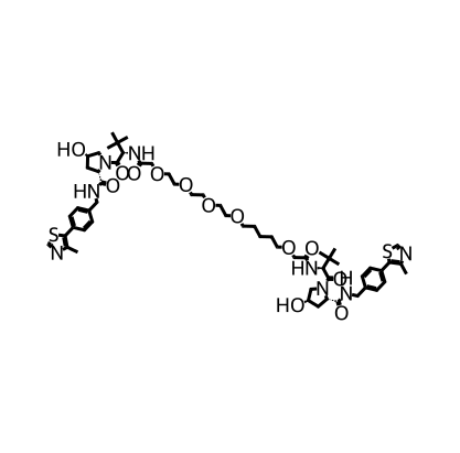 Cc1ncsc1-c1ccc(CNC(=O)[C@@H]2C[C@@H](O)CN2C(=O)[C@@H](NC(=O)COCCCCCOCCOCCOCCOCC(=O)N[C@H](C(=O)N2C[C@H](O)C[C@H]2C(=O)NCc2ccc(-c3scnc3C)cc2)C(C)(C)C)C(C)(C)C)cc1